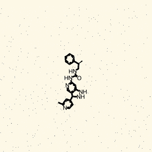 Cc1cc(C2NNc3cc(NC(=O)NC[C@H](C)c4ccccc4)ncc32)ccn1